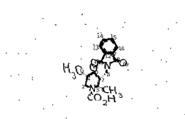 C[C@H]1CN(C(=O)O)[C@@H](C)[C@@H](CN2C(=O)c3ccccc3C2=O)C1=O